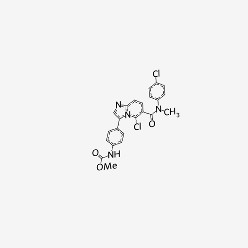 COC(=O)Nc1ccc(-c2cnc3ccc(C(=O)N(C)c4ccc(Cl)cc4)c(Cl)n23)cc1